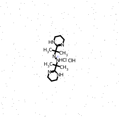 CC(C)(/N=N/C(C)(C)C1=NCCCN1)C1=NCCCN1.Cl.Cl